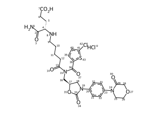 Cl.NC(=O)[C@H](CCC(=O)O)NCCCCC(=O)N(C[C@H]1CN(c2ccc(N3CCOCC3=O)cc2)C(=O)O1)C(=O)c1ccc(Cl)s1